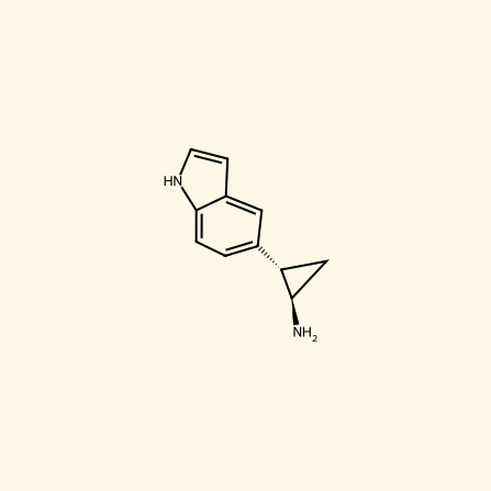 N[C@@H]1C[C@H]1c1ccc2[nH]ccc2c1